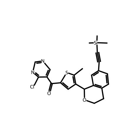 Cc1sc(C(=O)c2cncnc2Cl)cc1C1OCCc2ccc(C#C[Si](C)(C)C)cc21